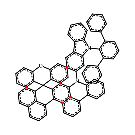 c1ccc(-c2ccccc2N(c2ccc3c(c2)C2(c4ccccc4Oc4ccccc42)c2cccc4cccc-3c24)c2ccc3c4ccccc4n(-c4c(-c5ccccc5)cccc4-c4ccccc4)c3c2)cc1